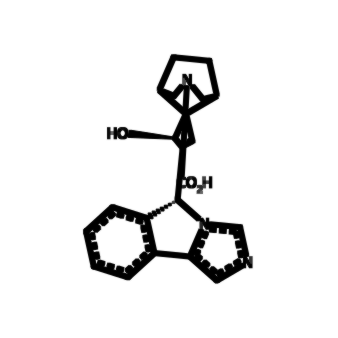 O=C(O)N1CC2CCC(C1)C21C[C@@H]([C@H]2c3ccccc3-c3cncn32)[C@H]1O